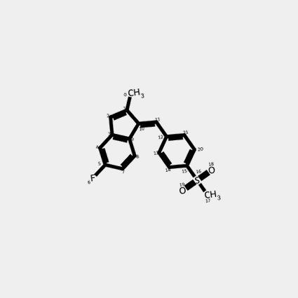 CC1=Cc2cc(F)ccc2C1=Cc1ccc(S(C)(=O)=O)cc1